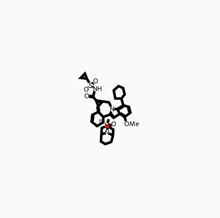 COc1ccc(C2CCCCC2)c2c1cc1n2CC2=C(C(=O)NS(=O)(=O)C3CC3)C2=C2C=CC[C@@H](C(=O)N3C4CCCC3CN(C)C4)C21